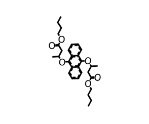 CCCCOC(=O)CC(C)Oc1c2ccccc2c(OC(C)CC(=O)OCCCC)c2ccccc12